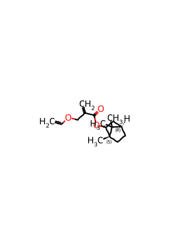 C=COCC(=C)C(=O)OC1C[C@H]2CC[C@@]1(C)C2(C)C